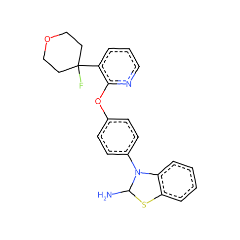 NC1Sc2ccccc2N1c1ccc(Oc2ncccc2C2(F)CCOCC2)cc1